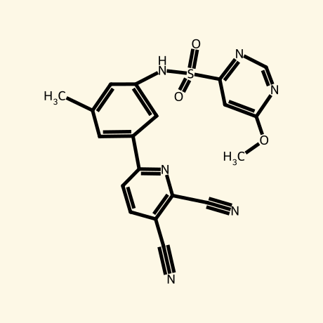 COc1cc(S(=O)(=O)Nc2cc(C)cc(-c3ccc(C#N)c(C#N)n3)c2)ncn1